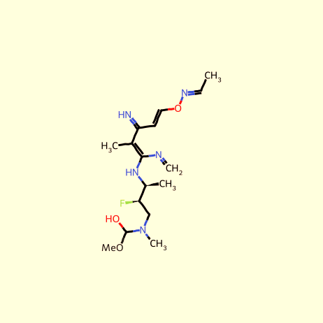 C=N/C(N[C@@H](C)[C@H](F)CN(C)C(O)OC)=C(/C)C(=N)/C=C/O/N=C/C